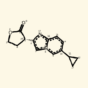 O=C1OCC[C@H]1c1cn2cc(C3CC3)ccc2n1